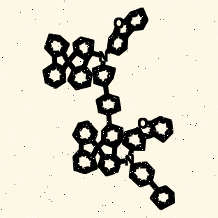 c1ccc(-c2ccc(N(c3ccc4oc5ccccc5c4c3)c3cccc4c3-c3ccc(-c5ccc(-c6ccc(N(c7ccc8c(c7)oc7ccccc78)c7cccc8c7-c7ccccc7C87c8ccccc8-c8ccccc87)cc6)cc5)cc3C43c4ccccc4-c4ccccc43)cc2)cc1